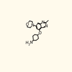 Cc1ncc2c(OC3CCC(N)CC3)cc(N3CCOCC3)cc2n1